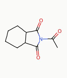 CC(=O)N1C(=O)C2CCCCC2C1=O